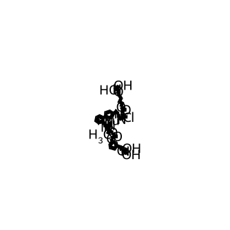 CCCCc1nc(Cl)c(C(=O)OCCCCON(O)O)n1Cc1ccc(-c2ccccc2-c2nnn(C(C)OC(=O)Oc3cccc(CON(O)O)c3)n2)cc1